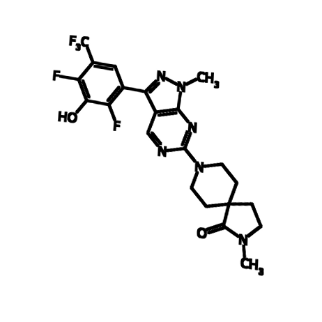 CN1CCC2(CCN(c3ncc4c(-c5cc(C(F)(F)F)c(F)c(O)c5F)nn(C)c4n3)CC2)C1=O